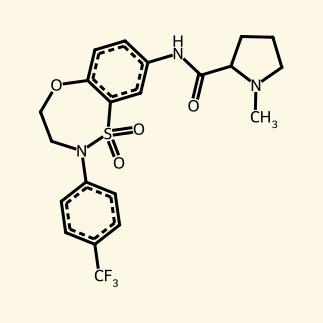 CN1CCCC1C(=O)Nc1ccc2c(c1)S(=O)(=O)N(c1ccc(C(F)(F)F)cc1)CCO2